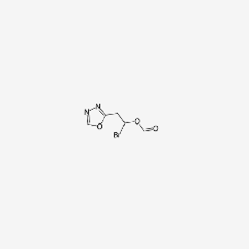 O=COC(Br)Cc1nnco1